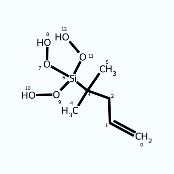 C=CCC(C)(C)[Si](OO)(OO)OO